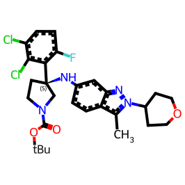 Cc1c2ccc(N[C@]3(c4c(F)ccc(Cl)c4Cl)CCN(C(=O)OC(C)(C)C)C3)cc2nn1C1CCOCC1